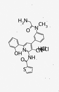 CN(C(=O)CN)c1cccc(-c2cc(-c3ccccc3O)nc(NC(=O)c3cccs3)c2C#N)c1.Cl.Cl